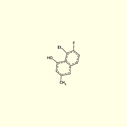 CCc1c(F)ccc2cc(C)cc(O)c12